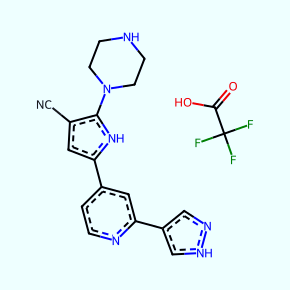 N#Cc1cc(-c2ccnc(-c3cn[nH]c3)c2)[nH]c1N1CCNCC1.O=C(O)C(F)(F)F